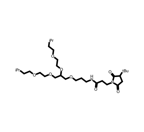 CC(C)CCOCCOCC(COCCCNC(=O)CCN1C(=O)CC(C(C)(C)C)C1=O)OCCOCCC(C)C